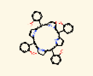 Oc1ccccc1-c1c2nc(c(-c3ccccc3O)c3ccc([nH]3)c(-c3ccccc3O)c3nc(c(-c4ccccc4O)c4[nH]c1CC4)C=C3)C=C2